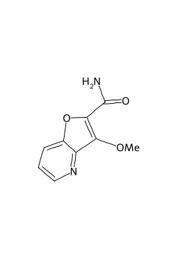 COc1c(C(N)=O)oc2cccnc12